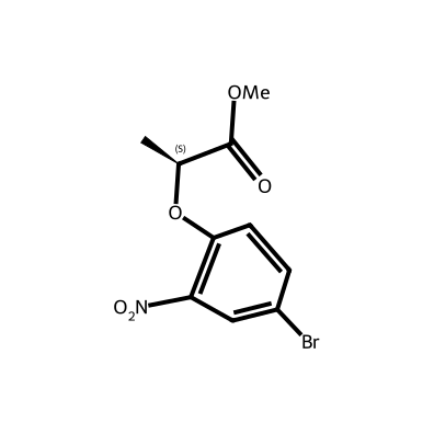 COC(=O)[C@H](C)Oc1ccc(Br)cc1[N+](=O)[O-]